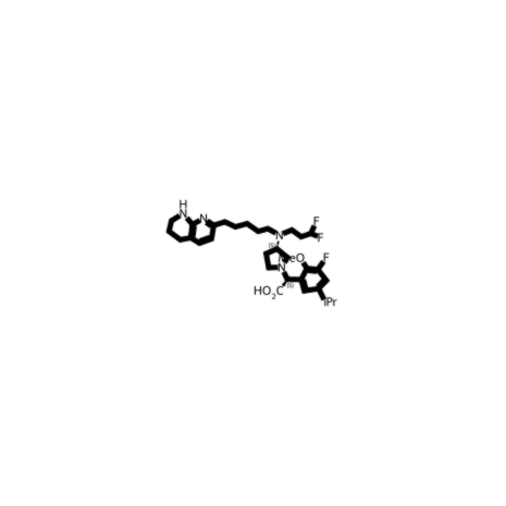 COc1c(F)cc(C(C)C)cc1[C@@H](C(=O)O)N1CC[C@H](N(CCCCCc2ccc3c(n2)NCCC3)CCC(F)F)C1